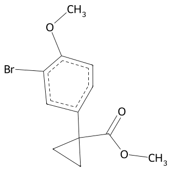 COC(=O)C1(c2ccc(OC)c(Br)c2)CC1